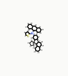 c1csc(N(c2ccc3c(c2)C2(CCCC2)c2c-3ccc3ccccc23)c2c3ccccc3cc3ccccc23)c1